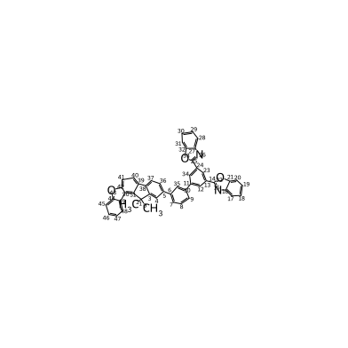 CC1(C)c2cc(-c3cccc(-c4cc(-c5nc6ccccc6o5)cc(-c5nc6ccccc6o5)c4)c3)ccc2-c2ccc3oc4ccccc4c3c21